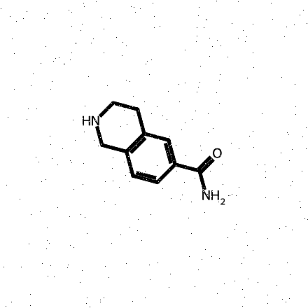 NC(=O)c1ccc2c(c1)CCNC2